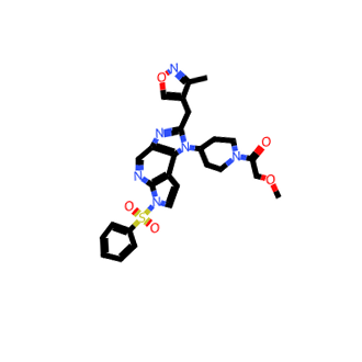 COCC(=O)N1CCC(n2c(Cc3conc3C)nc3cnc4c(ccn4S(=O)(=O)c4ccccc4)c32)CC1